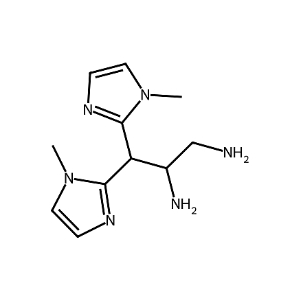 Cn1ccnc1C(c1nccn1C)C(N)CN